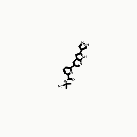 CC(C)(C#N)NC(=O)c1cccc(-c2cnc3[nH]c(-c4cn[nH]c4)cc3c2)n1